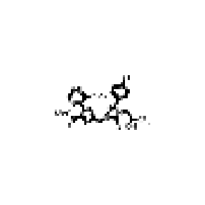 COC(=O)c1nc(Cn2nc(-c3ccc(Cl)cc3)n(CC(O)C(F)(F)F)c2=O)nn1-c1nccnc1OC